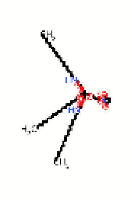 CCCCCCCC/C=C/CCCCCCCCCNCOCOCC(COCCCCCCCCC/C=C/CCCCCCCC)(COCCC(=O)ON1C(=O)CCC1=O)COCOCNCCCCCCCCC/C=C/CCCCCCCC